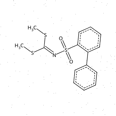 CSC(=NS(=O)(=O)c1ccccc1-c1ccccc1)SC